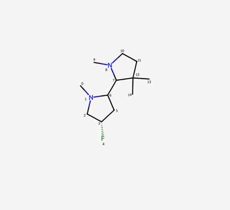 CN1C[C@@H](F)CC1C1N(C)CCC1(C)C